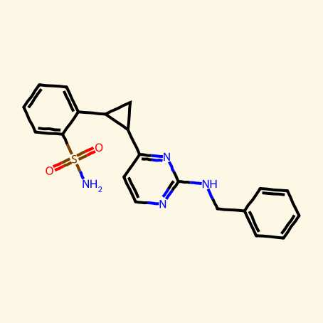 NS(=O)(=O)c1ccccc1C1CC1c1ccnc(NCc2ccccc2)n1